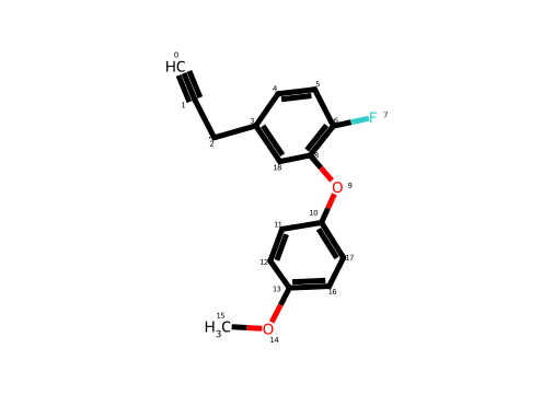 C#C[CH]c1ccc(F)c(Oc2ccc(OC)cc2)c1